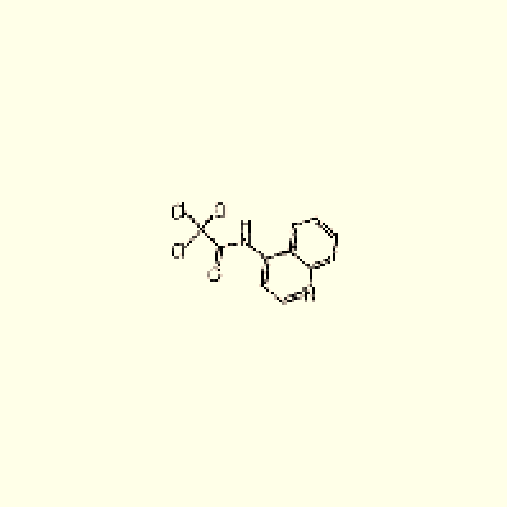 O=C(Nc1ccnc2ccccc12)C(Cl)(Cl)Cl